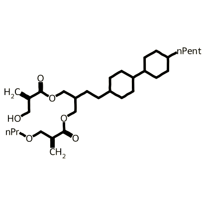 C=C(CO)C(=O)OCC(CCC1CCC(C2CCC(CCCCC)CC2)CC1)COC(=O)C(=C)COCCC